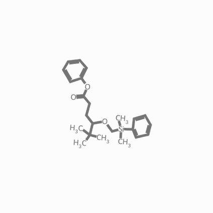 CC(C)(C)C(CCC(=O)Oc1ccccc1)OC[Si](C)(C)c1ccccc1